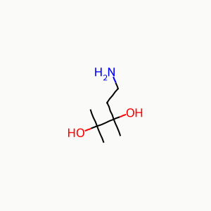 CC(C)(O)C(C)(O)CCN